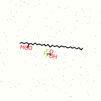 CCCCCCCCCCCCCCCCCCCCCCCCCC(CCCC)C(=O)O.O=C(O)C(F)(F)F